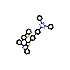 c1ccc(-c2nc(-c3ccccc3)nc(-c3ccc(-c4ccc(-c5sc6c(c(-c7ccccc7)nc7ccccc76)c5-c5cccc6c5sc5ccccc56)cc4)cc3)n2)cc1